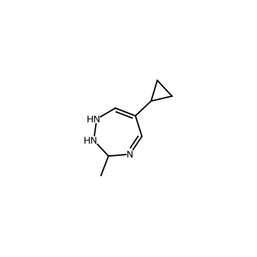 CC1N=CC(C2CC2)=CNN1